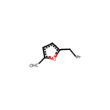 CC(C)Cc1ccc(C=O)o1